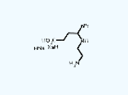 CCCC(CCC(=O)O)NCCN.[NaH].[NaH]